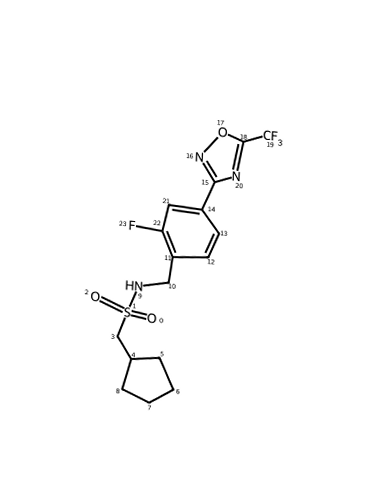 O=S(=O)(CC1CCCC1)NCc1ccc(-c2noc(C(F)(F)F)n2)cc1F